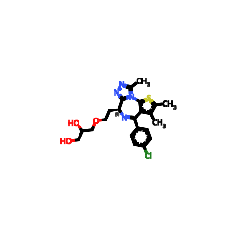 Cc1sc2c(c1C)C(c1ccc(Cl)cc1)=N[C@@H](CCOCC(O)CO)c1nnc(C)n1-2